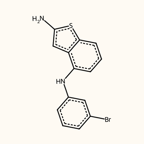 Nc1cc2c(Nc3cccc(Br)c3)cccc2s1